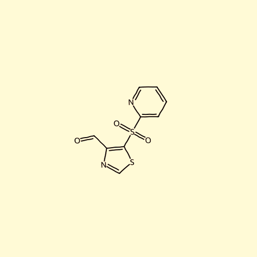 O=Cc1ncsc1S(=O)(=O)c1ccccn1